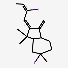 C=C1/C(=C\C(I)=C/C)C(C)(C)C2CC(C)(I)CCC12